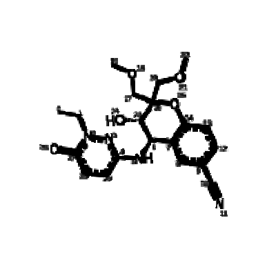 CCn1nc(N[C@@H]2c3cc(C#N)ccc3OC(COC)(COC)[C@H]2O)ccc1=O